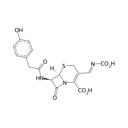 O=C(O)/N=C/C1=C(C(=O)O)N2C(=O)[C@@H](NC(=O)Cc3ccc(O)cc3)[C@H]2SC1